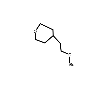 CCC(C)OCCC1CCOCC1